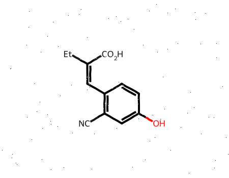 CCC(=Cc1ccc(O)cc1C#N)C(=O)O